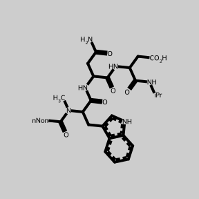 CCCCCCCCCC(=O)N(C)C(Cc1c[nH]c2ccccc12)C(=O)NC(CC(N)=O)C(=O)NC(CC(=O)O)C(=O)NC(C)C